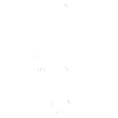 CCCN(C)c1cc2c(cc1C(F)(F)F)NC(=O)CC(c1cccc(-c3ccnc(C)c3)c1)=N2